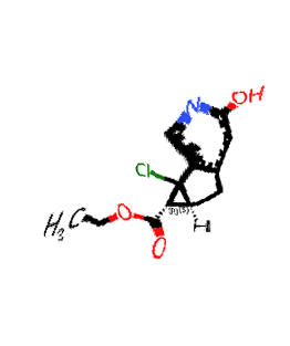 CCOC(=O)[C@H]1[C@@H]2Cc3cc(O)ncc3C21Cl